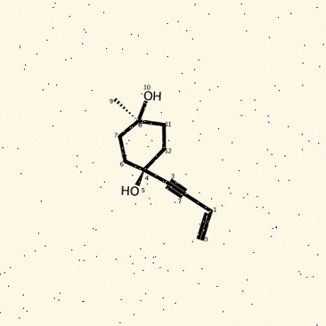 C=CC#C[C@]1(O)CC[C@@](C)(O)CC1